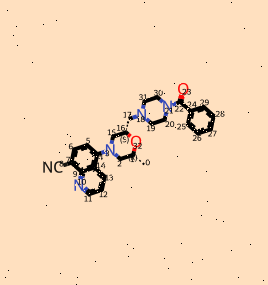 C[C@@H]1CN(c2ccc(C#N)c3ncccc23)C[C@H](CN2CCN(C(=O)c3ccccc3)CC2)O1